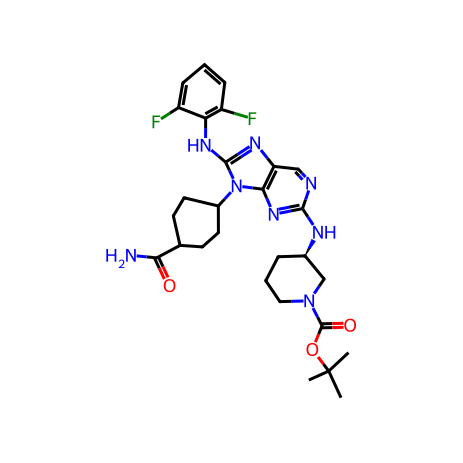 CC(C)(C)OC(=O)N1CCC[C@@H](Nc2ncc3nc(Nc4c(F)cccc4F)n(C4CCC(C(N)=O)CC4)c3n2)C1